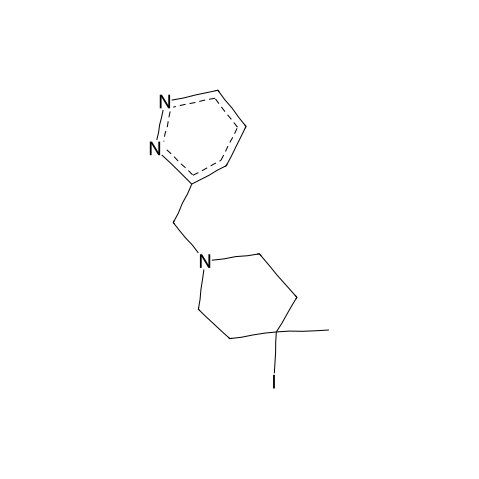 CC1(I)CCN(Cc2cccnn2)CC1